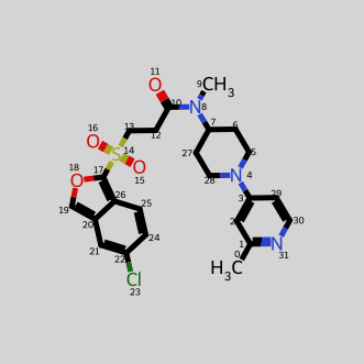 Cc1cc(N2CCC(N(C)C(=O)CCS(=O)(=O)c3occ4cc(Cl)ccc34)CC2)ccn1